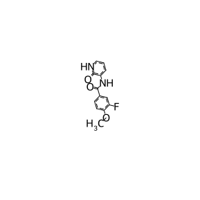 COc1ccc(C(=O)Nc2ccc[nH]c2=O)cc1F